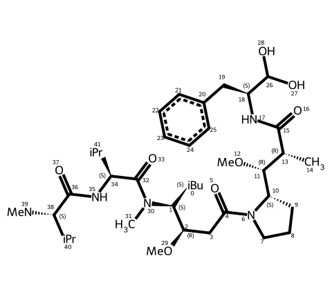 CC[C@H](C)[C@@H]([C@@H](CC(=O)N1CCC[C@H]1[C@H](OC)[C@@H](C)C(=O)N[C@@H](Cc1ccccc1)C(O)O)OC)N(C)C(=O)[C@@H](NC(=O)[C@@H](NC)C(C)C)C(C)C